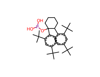 CC(C)(C)c1ccc(C2CCCCC2(OP(O)O)c2ccc(C(C)(C)C)cc2C(C)(C)C)c(C(C)(C)C)c1